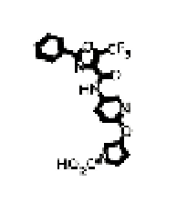 O=C(Nc1ccc(OC2CCN(C(=O)O)C2)nc1)c1nc(-c2ccccc2)oc1C(F)(F)F